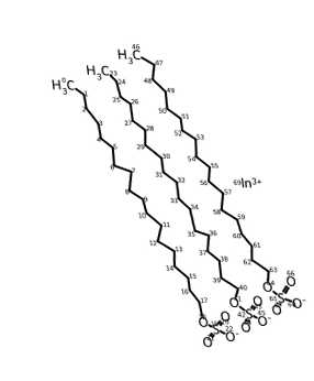 CCCCCCCCCCCCCCCCCCOS(=O)(=O)[O-].CCCCCCCCCCCCCCCCCCOS(=O)(=O)[O-].CCCCCCCCCCCCCCCCCCOS(=O)(=O)[O-].[In+3]